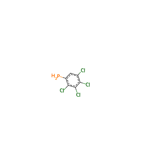 Pc1cc(Cl)c(Cl)c(Cl)c1Cl